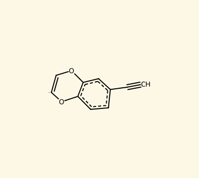 C#Cc1ccc2c(c1)OC=[C]O2